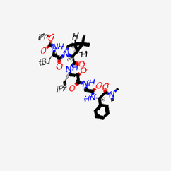 CC(C)C[C@H](NC(=O)[C@@H]1[C@H]2[C@H](CN1C(=O)[C@@H](NC(=O)OC(C)C)C(C)(C)C)C2(C)C)C(=O)C(=O)NCC(=O)N[C@H](C(=O)N(C)C)c1ccccc1